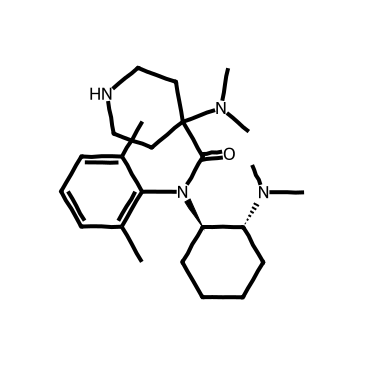 Cc1cccc(C)c1N(C(=O)C1(N(C)C)CCNCC1)[C@@H]1CCCC[C@H]1N(C)C